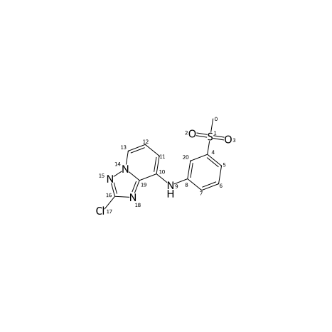 CS(=O)(=O)c1cccc(Nc2cccn3nc(Cl)nc23)c1